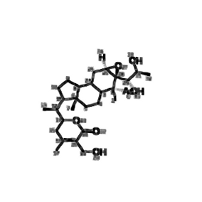 CC(=O)[C@]1(C)C2CC[C@@]3(C)C(CCC3[C@H](C)C3CC(C)=C(CO)C(=O)O3)C2C[C@H]2O[C@]21[C@@H](O)[C@H](C)O